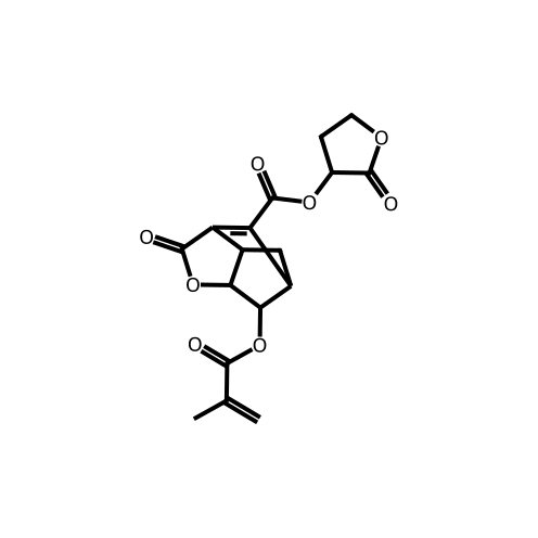 C=C(C)C(=O)OC1C2CC3C(=C2C(=O)OC2CCOC2=O)C(=O)OC31